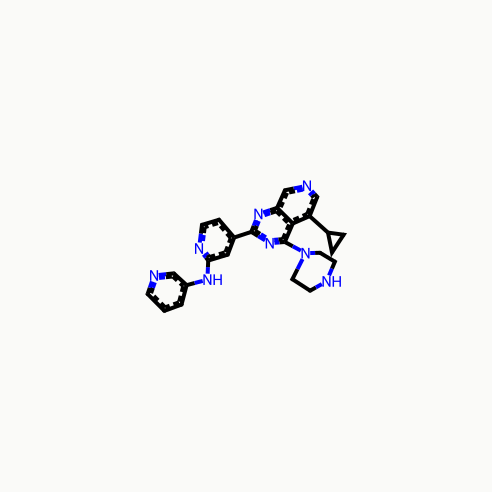 c1cncc(Nc2cc(-c3nc(N4CCNCC4)c4c(C5CC5)cncc4n3)ccn2)c1